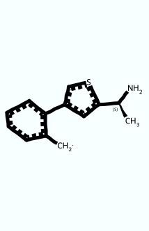 [CH2]c1ccccc1-c1csc([C@H](C)N)c1